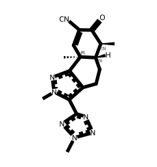 [C-]#[N+]C1=C[C@]2(C)c3nn(C)c(-c4nnn(C)n4)c3CC[C@H]2[C@H](C)C1=O